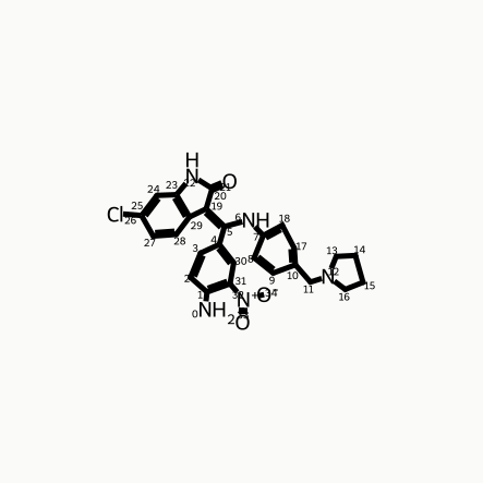 Nc1ccc(/C(Nc2ccc(CN3CCCC3)cc2)=C2/C(=O)Nc3cc(Cl)ccc32)cc1[N+](=O)[O-]